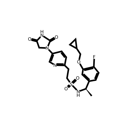 C[C@@H](NS(=O)(=O)CCc1ccc(N2CC(=O)NC2=O)cn1)c1ccc(F)c(OCC2CC2)c1